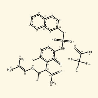 Cc1ccc(NS(=O)(=O)Cc2ccc3ccccc3c2)c(=O)n1C(C(N)=O)C(C)ON=C(N)N.O=C(O)C(F)(F)F